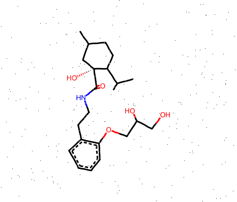 CC1CCC(C(C)C)[C@@](O)(C(=O)NCCc2ccccc2OCC(O)CO)C1